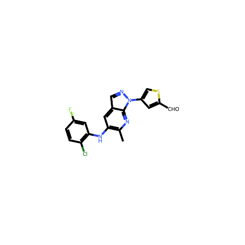 Cc1nc2c(cnn2-c2csc(C=O)c2)cc1Nc1cc(F)ccc1Cl